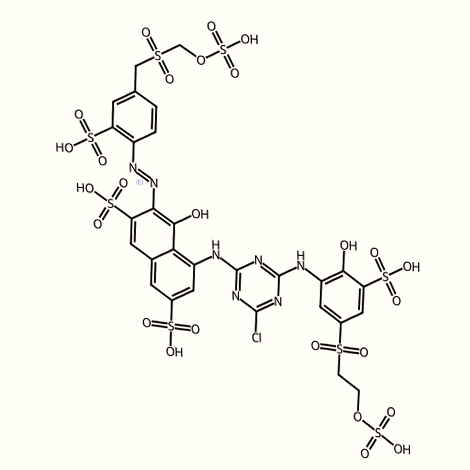 O=S(=O)(COS(=O)(=O)O)Cc1ccc(/N=N/c2c(S(=O)(=O)O)cc3cc(S(=O)(=O)O)cc(Nc4nc(Cl)nc(Nc5cc(S(=O)(=O)CCOS(=O)(=O)O)cc(S(=O)(=O)O)c5O)n4)c3c2O)c(S(=O)(=O)O)c1